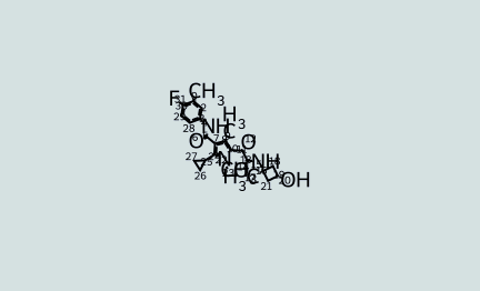 Cc1cc(NC(=O)c2c(C)c(C(=O)C(=O)N[C@]3(C)C[C@H](O)C3)n(C)c2C2CC2)ccc1F